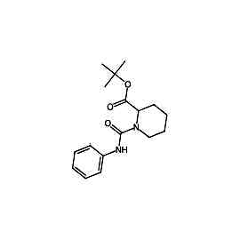 CC(C)(C)OC(=O)C1CCCCN1C(=O)Nc1[c]cccc1